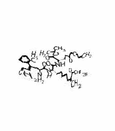 C=CC=C=CC(=O)CC[C@H](NC(=O)[C@H](CCCCCC(=C)C(C)=O)NC(=O)[C@@H](N)C/C(=C/C=C)c1ccccc1C)C(=O)OC(C)C